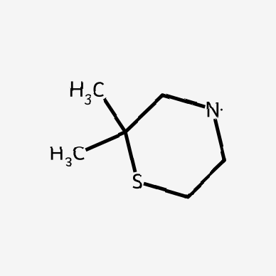 CC1(C)C[N]CCS1